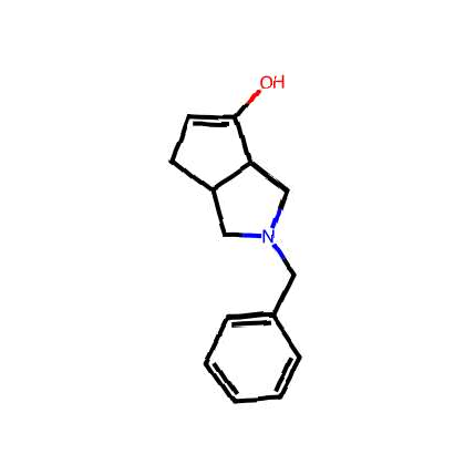 OC1=CCC2CN(Cc3ccccc3)CC12